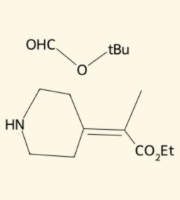 CC(C)(C)OC=O.CCOC(=O)C(C)=C1CCNCC1